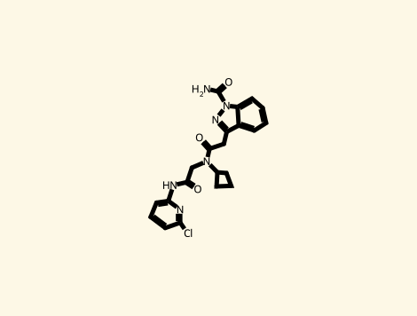 NC(=O)n1nc(CC(=O)N(CC(=O)Nc2cccc(Cl)n2)C2CCC2)c2ccccc21